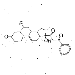 C[C@H]1CC2C3C[C@H](F)C4CC(=O)CC[C@]4(C)C3=CC[C@]2(C)[C@@]1(O)C(=O)CC(=O)c1ccccc1